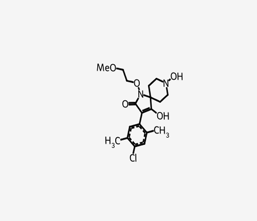 COCCON1C(=O)C(c2cc(C)c(Cl)cc2C)=C(O)C12CCN(O)CC2